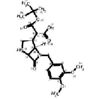 COc1ccc(CN2C(=O)C3NC[C@@H]([C@@H](C(=O)O)C(=O)OC(C)(C)C)[C@H]32)cc1OC